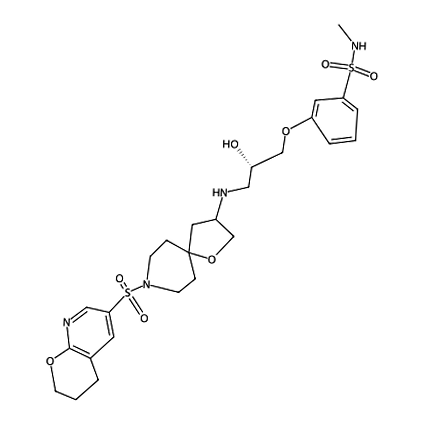 CNS(=O)(=O)c1cccc(OC[C@@H](O)CNC2COC3(CCN(S(=O)(=O)c4cnc5c(c4)CCCO5)CC3)C2)c1